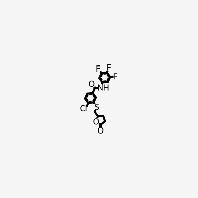 O=C1CCC(CSc2cc(C(=O)Nc3cc(F)c(F)c(F)c3)ccc2Cl)O1